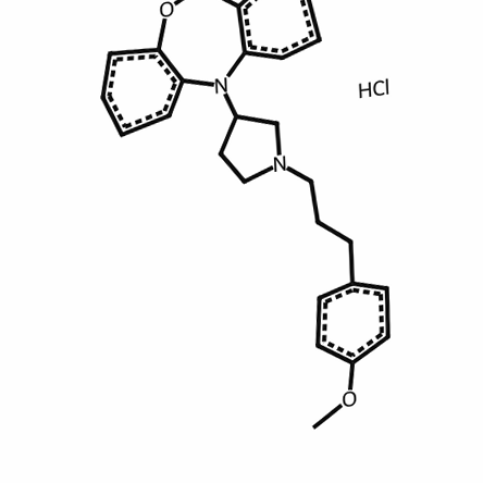 COc1ccc(CCCN2CCC(N3c4ccccc4COc4ccccc43)C2)cc1.Cl